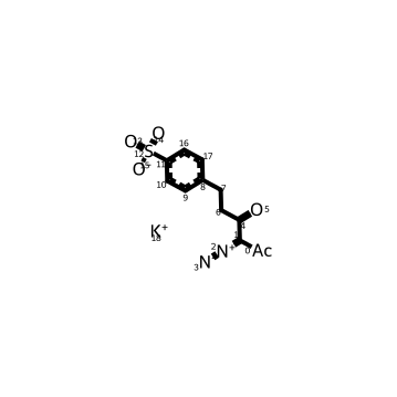 CC(=O)C(=[N+]=[N-])C(=O)CCc1ccc(S(=O)(=O)[O-])cc1.[K+]